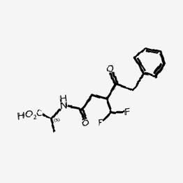 C[C@H](NC(=O)CC(C(=O)Cc1ccccc1)C(F)F)C(=O)O